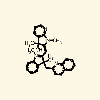 CN1C(=CC2=[N+](C)c3ccccc3C2(C)Cc2ccc3ccccc3n2)C(C)(C)c2cccnc21